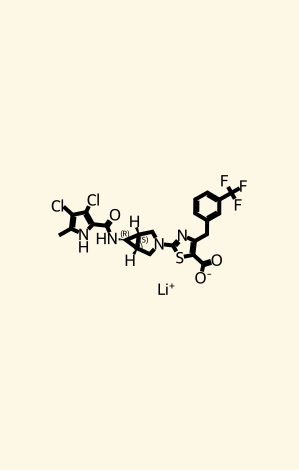 Cc1[nH]c(C(=O)N[C@@H]2[C@@H]3CN(c4nc(Cc5cccc(C(F)(F)F)c5)c(C(=O)[O-])s4)C[C@@H]32)c(Cl)c1Cl.[Li+]